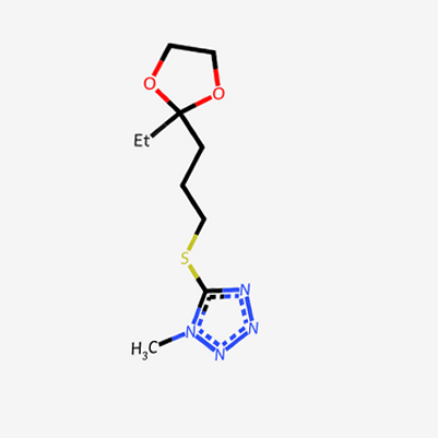 CCC1(CCCSc2nnnn2C)OCCO1